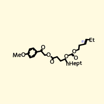 CC/C=C/CCOC(=O)OC(CCCCCCC)CCC(=O)OCC(=O)c1ccc(OC)cc1